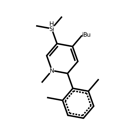 CCC(C)C1=CC(c2c(C)cccc2C)N(C)C=C1[SiH](C)C